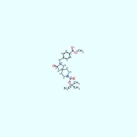 COC(=O)c1ccc(CN2CC3(CCN(C(=O)OC(C)(C)C)CC3)CC2=O)cc1